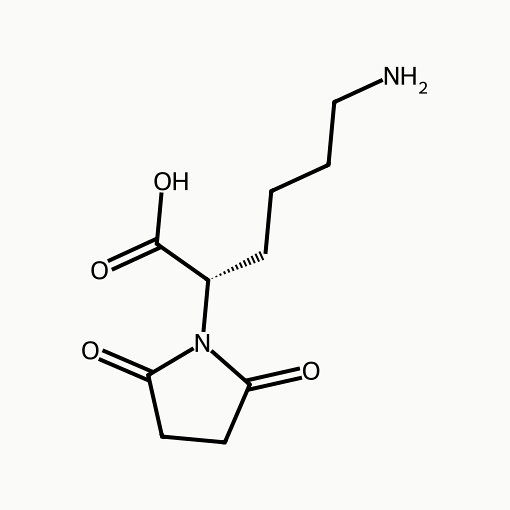 NCCCC[C@@H](C(=O)O)N1C(=O)CCC1=O